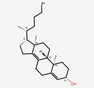 CC(C)CCC[C@@H](C)[C@H]1CCC2=C3CCC4=C[C@@H](O)CC[C@]4(C)[C@H]3CC[C@@]21C